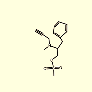 C#CCN(C)C(COS(C)(=O)=O)Cc1ccccc1